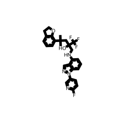 CC(C)(CC(O)(CNc1cccc2c1cnn2-c1ccc(F)nc1)C(F)(F)F)c1cccc2c1OCC2